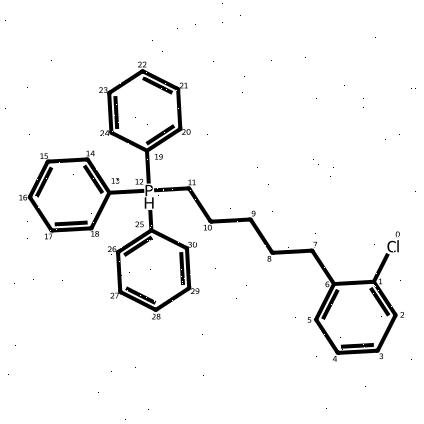 Clc1ccccc1CCCCC[PH](c1ccccc1)(c1ccccc1)c1ccccc1